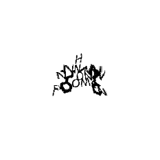 COc1ccc(F)cc1-c1cc(NC(=O)Cn2nnc(-c3cccnc3)n2)ncn1